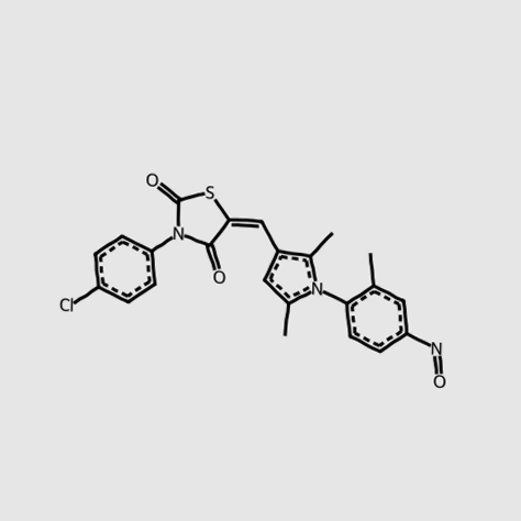 Cc1cc(N=O)ccc1-n1c(C)cc(C=C2SC(=O)N(c3ccc(Cl)cc3)C2=O)c1C